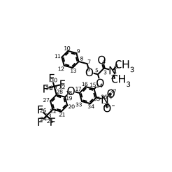 CN(C)C(=O)C(OCc1ccccc1)Oc1cc(Oc2ccc(C(F)(F)F)cc2C(F)(F)F)ccc1[N+](=O)[O-]